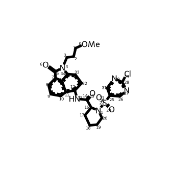 COCCCN1C(=O)c2cccc3c(NC(=O)C4CCCCN4S(=O)(=O)c4cnc(Cl)nc4)ccc1c23